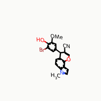 COc1cc(C2C(C#N)=COc3c2ccc2c3ccn2C)cc(Br)c1O